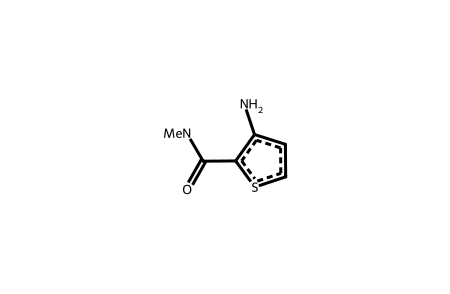 CNC(=O)c1sccc1N